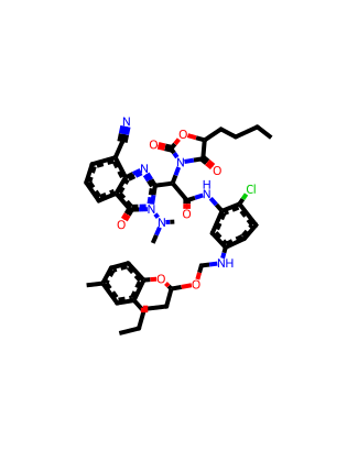 CCCCC(OCNc1ccc(Cl)c(NC(=O)C(c2nc3c(C#N)cccc3c(=O)n2N(C)C)N2C(=O)OC(CCCC)C2=O)c1)Oc1ccc(C)cc1C